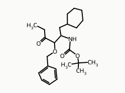 CCC(=O)C(OCc1ccccc1)C(CC1CCCCC1)NC(=O)OC(C)(C)C